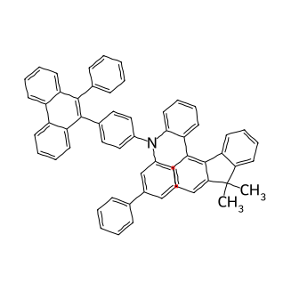 CC1(C)c2ccccc2-c2c(-c3ccccc3N(c3ccc(-c4c(-c5ccccc5)c5ccccc5c5ccccc45)cc3)c3cccc(-c4ccccc4)c3)cccc21